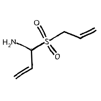 C=CCS(=O)(=O)[C](N)C=C